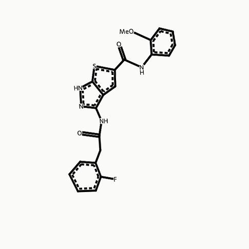 COc1ccccc1NC(=O)c1cc2c(NC(=O)Cc3ccccc3F)n[nH]c2s1